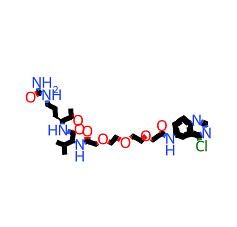 CC(=O)[C@H](CCCNC(N)=O)NC(=O)[C@@H](NC(=O)COCCOCCOCC(=O)Nc1ccc2ncnc(Cl)c2c1)C(C)C